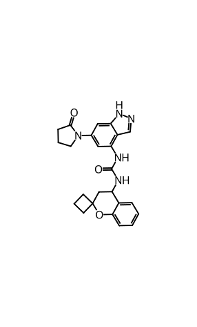 O=C(Nc1cc(N2CCCC2=O)cc2[nH]ncc12)NC1CC2(CCC2)Oc2ccccc21